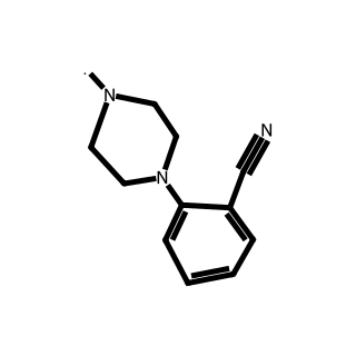 [CH2]N1CCN(c2ccccc2C#N)CC1